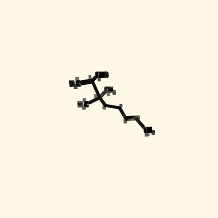 C=C(C=O)C(C)(C)CCC=CC